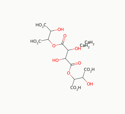 O=C(OC(C(=O)O)C(O)C(=O)O)C(O)C(O)C(=O)OC(C(=O)O)C(O)C(=O)O.[CaH2].[CaH2]